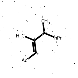 CCCC(C)C(C)=CC(C)=O